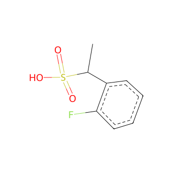 CC(c1ccccc1F)S(=O)(=O)O